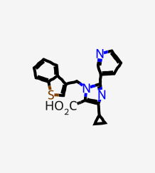 O=C(O)c1c(C2CC2)nc(-c2cccnc2)n1Cc1csc2ccccc12